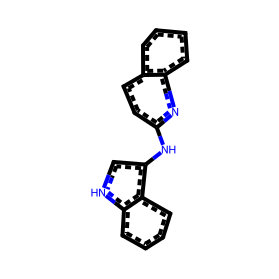 c1ccc2nc(Nc3c[nH]c4ccccc34)ccc2c1